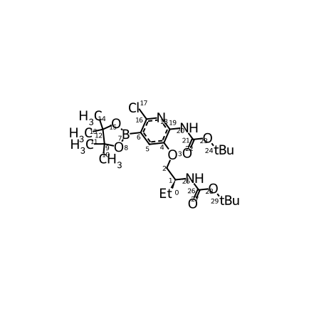 CC[C@@H](COc1cc(B2OC(C)(C)C(C)(C)O2)c(Cl)nc1NC(=O)OC(C)(C)C)NC(=O)OC(C)(C)C